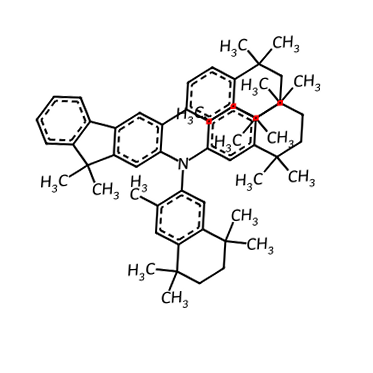 Cc1cc2c(cc1N(c1cc3c(cc1C)C(C)(C)CCC3(C)C)c1cc3c(cc1-c1ccc4c(c1)C(C)(C)CCC4(C)C)-c1ccccc1C3(C)C)C(C)(C)CCC2(C)C